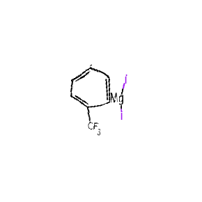 FC(F)(F)c1cc[c]cc1.[I][Mg][I]